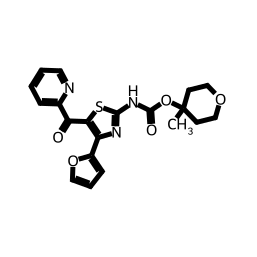 CC1(OC(=O)Nc2nc(-c3ccco3)c(C(=O)c3ccccn3)s2)CCOCC1